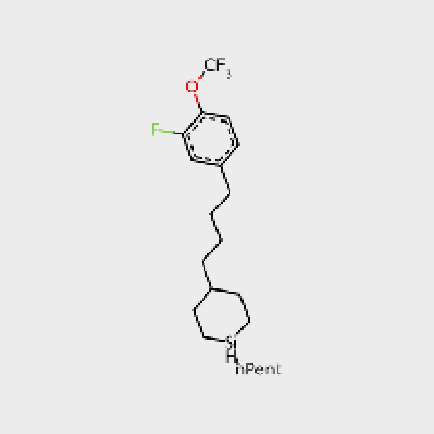 CCCCC[SiH]1CCC(CCCCc2ccc(OC(F)(F)F)c(F)c2)CC1